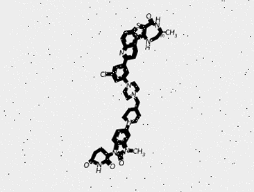 C[C@@H]1CNc2c(sc3ccc4nc(-c5cc(Cl)cc(N6CCN(CC7CCN(c8ccc9c(c8)n(C)c(=O)n9C8CCC(=O)NC8=O)CC7)CC6)c5)ccc4c23)C(=O)N1